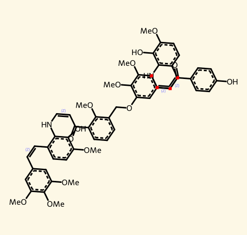 COc1ccc(/C=C\c2cc(OC)c(OC)c(OC)c2)c(N/C=C\C(=O)c2cccc(COc3cc(/C=C\c4ccc(OC)c(O)c4N/C=C\C(=O)c4ccc(O)cc4)cc(OC)c3OC)c2OC)c1O